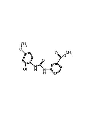 COC(=O)c1cccc(NC(=O)Nc2ccc(OC)cc2O)c1